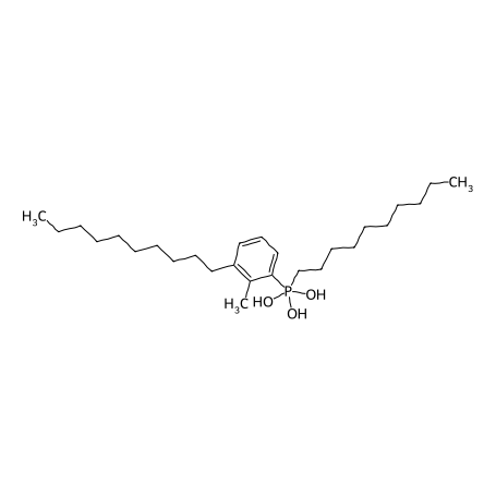 CCCCCCCCCCc1cccc(P(O)(O)(O)CCCCCCCCCC)c1C